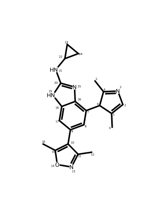 CC1=CN=C(C)C1c1cc(-c2c(C)noc2C)cc2[nH]c(NC3CC3)nc12